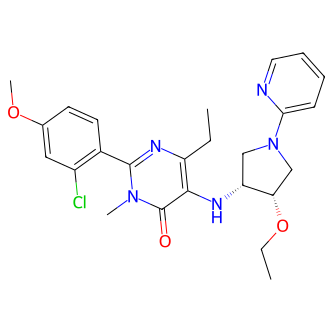 CCO[C@H]1CN(c2ccccn2)C[C@H]1Nc1c(CC)nc(-c2ccc(OC)cc2Cl)n(C)c1=O